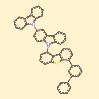 c1ccc(-c2cccc(-c3cccc4c3sc3cccc(-n5c6ccccc6c6cc(-n7c8ccccc8c8ccccc87)ccc65)c34)c2)cc1